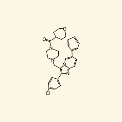 O=C(C1CCOCC1)N1CCN(Cc2c(-c3ccc(Cl)cc3)nc3ccc(-c4ccccc4)cn23)CC1